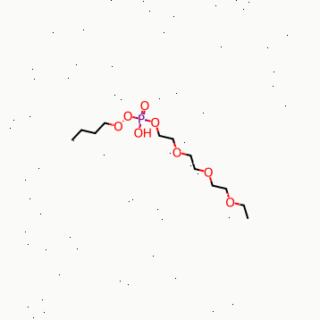 CCCCOOP(=O)(O)OCCOCCOCCOCC